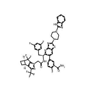 NC(=O)c1cc(-c2cc3sc(N4CCN(c5nc6ccccc6[nH]5)CC4)nc3nc2[C@H](Cc2cc(F)cc(F)c2)NC(=O)Cn2nc(C(F)(F)F)c3c2C(F)(F)[C@@H]2CC[C@H]32)ccc1F